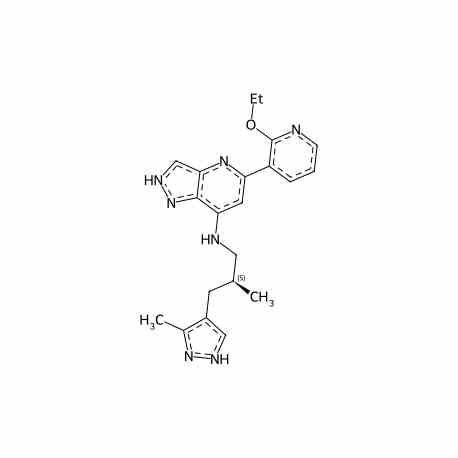 CCOc1ncccc1-c1cc(NC[C@@H](C)Cc2c[nH]nc2C)c2n[nH]cc2n1